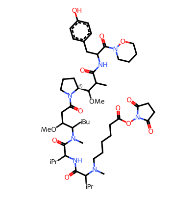 CCC(C)C(C(CC(=O)N1CCC[C@H]1C(OC)C(C)C(=O)NC(Cc1ccc(O)cc1)C(=O)N1CCCCO1)OC)N(C)C(=O)C(NC(=O)C(C(C)C)N(C)CCCCCC(=O)ON1C(=O)CCC1=O)C(C)C